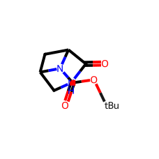 CC(C)(C)OC(=O)N1C2CNC(=O)C1C2